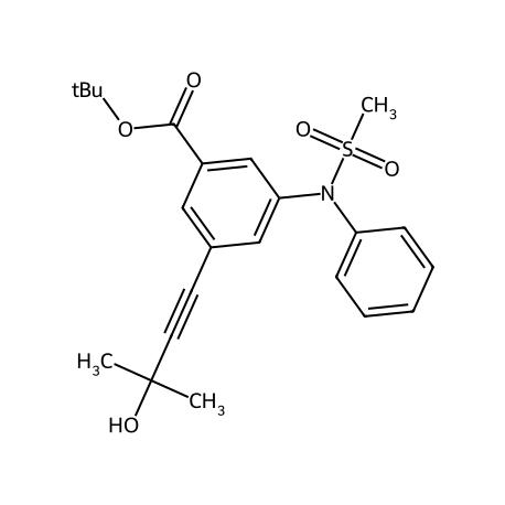 CC(C)(O)C#Cc1cc(C(=O)OC(C)(C)C)cc(N(c2ccccc2)S(C)(=O)=O)c1